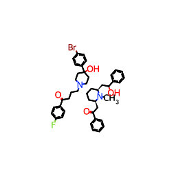 CN1[C@@H](CC(=O)c2ccccc2)CCC[C@H]1C[C@H](O)c1ccccc1.O=C(CCCN1CCC(O)(c2ccc(Br)cc2)CC1)c1ccc(F)cc1